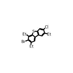 CCc1cc2c(cc1Cl)sc1c(CC)c(Br)c(CC)cc12